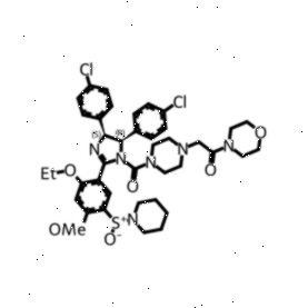 CCOc1cc(OC)c([S+]([O-])N2CCCCC2)cc1C1=N[C@@H](c2ccc(Cl)cc2)[C@@H](c2ccc(Cl)cc2)N1C(=O)N1CCN(CC(=O)N2CCOCC2)CC1